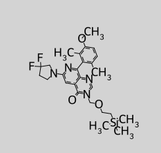 COc1ccc(C)c(-c2nc(N3CCC(F)(F)C3)cc3c(=O)n(COCC[Si](C)(C)C)cnc23)c1C